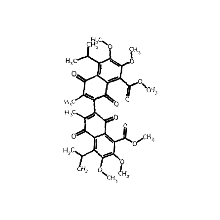 COC(=O)c1c(OC)c(OC)c(C(C)C)c2c1C(=O)C(C1=C(C)C(=O)c3c(c(C(=O)OC)c(OC)c(OC)c3C(C)C)C1=O)=C(C)C2=O